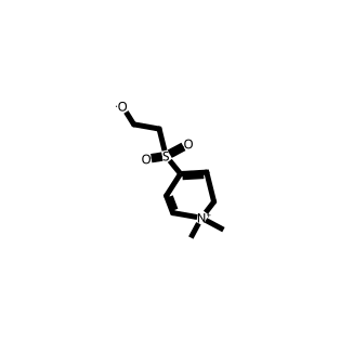 C[N+]1(C)C=CC(S(=O)(=O)CC[O])=CC1